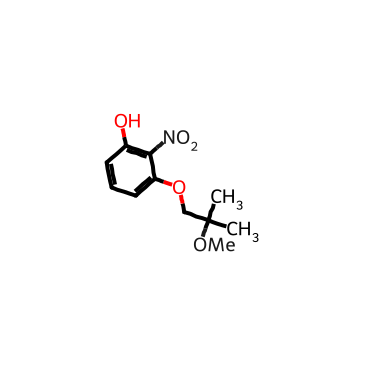 COC(C)(C)COc1cccc(O)c1[N+](=O)[O-]